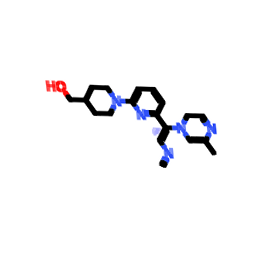 C=N/C=C(/c1cccc(N2CCC(CO)CC2)n1)N1C=C(C)N=CC1